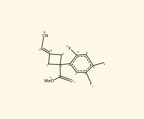 COC(=O)C1(c2cc(F)c(C)cc2F)CC(=CC#N)C1